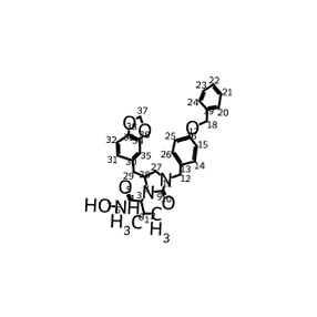 CC(C)C(C(=O)NO)N1C(=O)N(Cc2ccc(OCc3ccccc3)cc2)CC1Cc1ccc2c(c1)OCO2